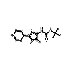 CC(C)(C)OC(=O)Nc1nc(C2C=CN=CC2)sc1I